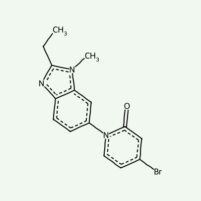 CCc1nc2ccc(-n3ccc(Br)cc3=O)cc2n1C